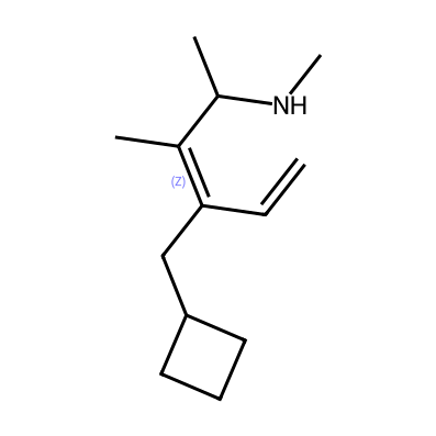 C=C/C(CC1CCC1)=C(/C)C(C)NC